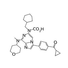 CN(c1nc(N(CC2CCCCC2)C(=O)O)cn2c(-c3ccc(C(=O)C4CC4)cc3)cnc12)C1CCOCC1